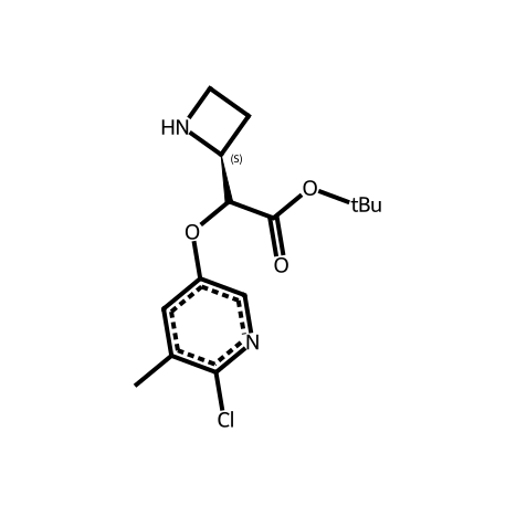 Cc1cc(OC(C(=O)OC(C)(C)C)[C@@H]2CCN2)cnc1Cl